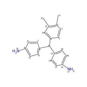 Cc1ccc(C(c2ccc(N)cc2)c2ccc(N)cc2)cc1C